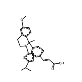 COc1ccc2c(c1)CCN(c1ccc(C(C)C)s1)C2(C)c1ccc(C=CC(=O)O)cc1